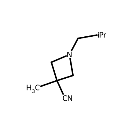 CC(C)CN1CC(C)(C#N)C1